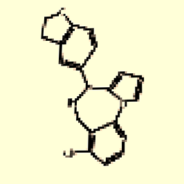 Clc1cccc2c1CNC(c1ccc3c(c1)CCO3)c1cccn1-2